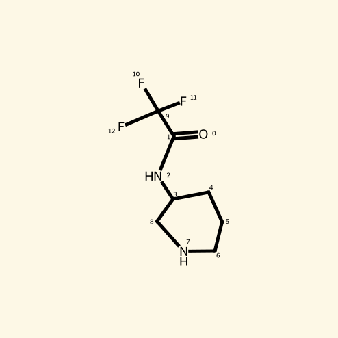 O=C(NC1CCCNC1)C(F)(F)F